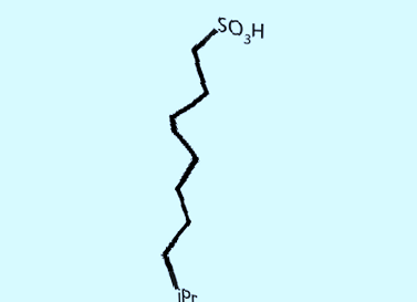 CC(C)CCCCCCCS(=O)(=O)O